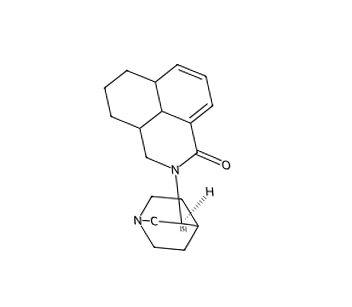 O=C1C2=CC=CC3CCCC(CN1[C@@H]1CN4CCC1CC4)C23